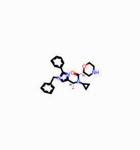 C[C@H](c1cn(Cc2ccccc2)c(-c2ccccc2)n1)N(C(=O)[C@H]1CNCCO1)C1CC1